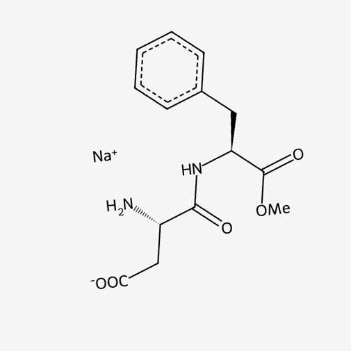 COC(=O)[C@H](Cc1ccccc1)NC(=O)[C@@H](N)CC(=O)[O-].[Na+]